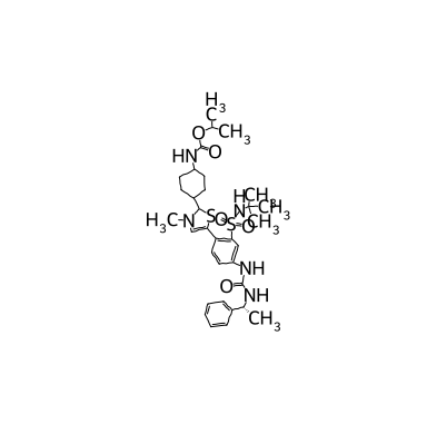 CC(C)OC(=O)NC1CCC(C2SC(c3ccc(NC(=O)N[C@H](C)c4ccccc4)cc3S(=O)(=O)NC(C)(C)C)=CN2C)CC1